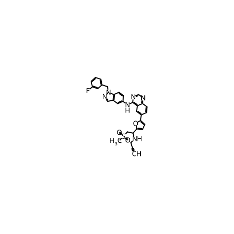 C#CCNC(CS(C)(=O)=O)c1ccc(-c2ccc3ncnc(Nc4ccc5c(cnn5Cc5cccc(F)c5)c4)c3c2)o1